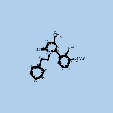 COc1cccc(-c2nc(C)cc(=O)n2CCc2ccccc2)c1F